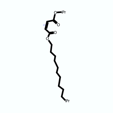 CC(C)CCCCCCCCCCOC(=O)/C=C\C(=O)OC(C)C